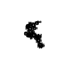 CCOCc1cc(OC)c(-c2ccc(C[C@H](NC(=O)c3c(F)cc(NS(=O)(=O)c4ccc(-c5ccnc(F)c5)cc4)cc3F)C(=O)O)c3nsnc23)c(OC)c1